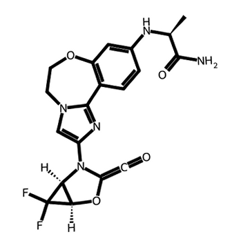 C[C@H](Nc1ccc2c(c1)OCCn1cc(N3C(=C=O)O[C@@H]4[C@H]3C4(F)F)nc1-2)C(N)=O